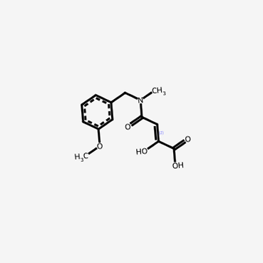 COc1cccc(CN(C)C(=O)/C=C(\O)C(=O)O)c1